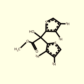 [2H]c1csc(C(O)(C(=O)OC)c2scc([2H])c2[2H])c1[2H]